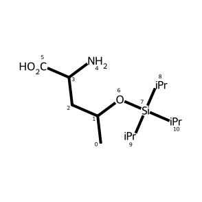 CC(CC(N)C(=O)O)O[Si](C(C)C)(C(C)C)C(C)C